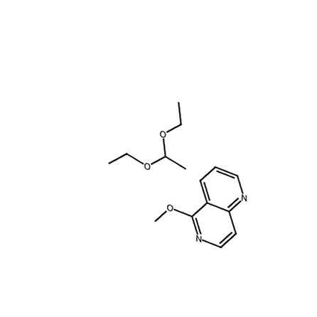 CCOC(C)OCC.COc1nccc2ncccc12